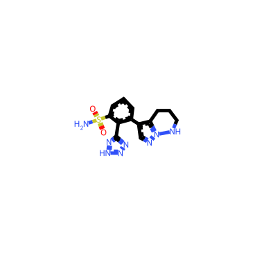 NS(=O)(=O)c1cccc(-c2cnn3c2CCCN3)c1-c1nn[nH]n1